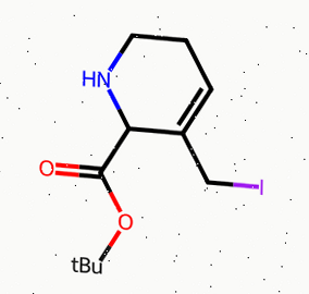 CC(C)(C)OC(=O)C1NCCC=C1CI